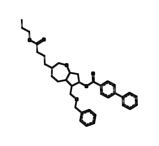 CCCOC(=O)CCCC1CCC2C(CC(OC(=O)c3ccc(-c4ccccc4)cc3)C2COCc2ccccc2)OC1